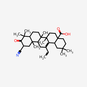 C=CC1=C2C3CC(C)(C)CCC3(C(=O)O)CCC2(C)C2(C)CCC3C(C)(C)C(=O)C(C#N)CC3(C)C2C1